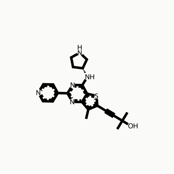 Cc1c(C#CC(C)(C)O)sc2c(N[C@@H]3CCNC3)nc(-c3ccncc3)nc12